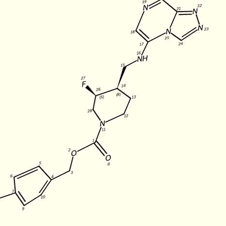 O=C(OCc1ccc(Cl)cc1)N1CC[C@H](CNc2cncc3nncn23)[C@H](F)C1